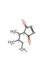 CCC(C)C(C)C1C(=O)C=CC1=O